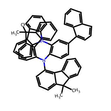 CC1(C)c2ccccc2-c2c(N(c3ccc(-c4cccc5ccccc45)cc3-n3c4ccccc4c4ccccc43)c3cccc4c3-c3ccccc3C4(C)C)cccc21